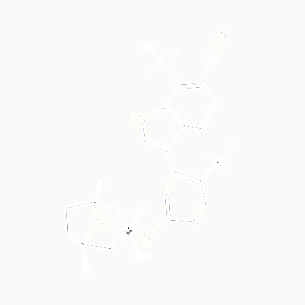 CP(C)(=O)c1c(C#N)ccc2c(-c3nc(NC4C[C@H]5CC[C@@H](C4)N5C(=O)O)ncc3C(F)(F)F)c[nH]c12